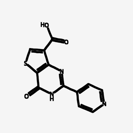 O=C(O)c1csc2c(=O)[nH]c(-c3ccncc3)nc12